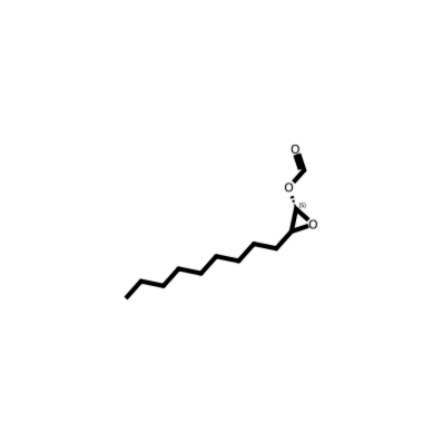 CCCCCCCCCC1O[C@H]1OC=O